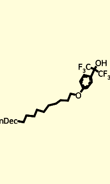 CCCCCCCCCCCCCCCCCCCCOc1ccc(C(O)(C(F)(F)F)C(F)(F)F)cc1